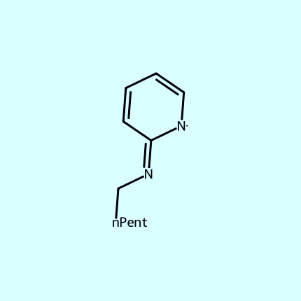 CCCCCCN=C1C=CC=C[N]1